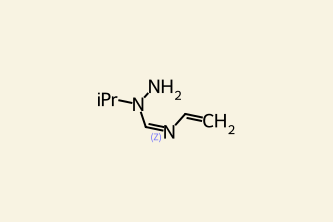 C=C/N=C\N(N)C(C)C